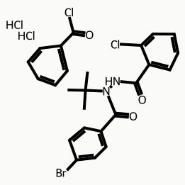 CC(C)(C)N(NC(=O)c1ccccc1Cl)C(=O)c1ccc(Br)cc1.Cl.Cl.O=C(Cl)c1ccccc1